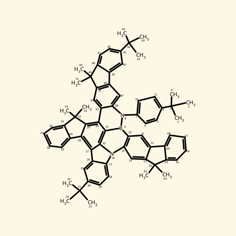 CC(C)(C)c1ccc(N2B3c4cc5c(cc4-n4c6ccc(C(C)(C)C)cc6c6c7c(c(c3c64)-c3cc4c(cc32)-c2cc(C(C)(C)C)ccc2C4(C)C)C(C)(C)c2ccccc2-7)C(C)(C)c2ccccc2-5)cc1